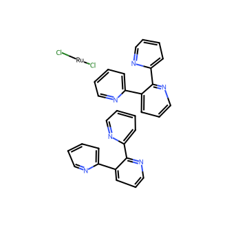 [Cl][Ru][Cl].c1ccc(-c2cccnc2-c2ccccn2)nc1.c1ccc(-c2cccnc2-c2ccccn2)nc1